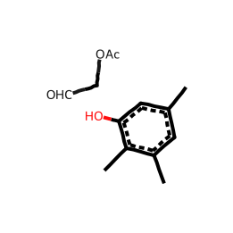 CC(=O)OCC=O.Cc1cc(C)c(C)c(O)c1